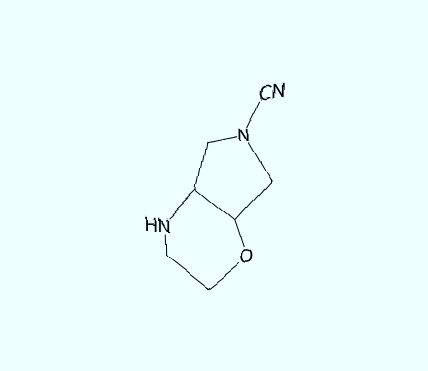 N#CN1CC2NCCOC2C1